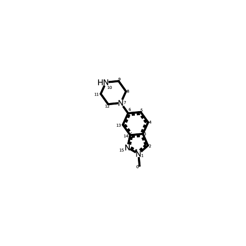 Cn1cc2ccc(N3CCNCC3)cc2n1